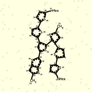 CCCCCCc1ccc(-c2ccc(-c3cc(C)sc3-c3sc(-c4cc5sc(C)cc5s4)cc3-c3ccc(-c4ccc(CCCCCC)s4)s3)s2)s1